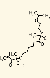 C=CC(=O)C(C)(C)OCCCCCC(=O)C(C)(C)OCCOC(C)C